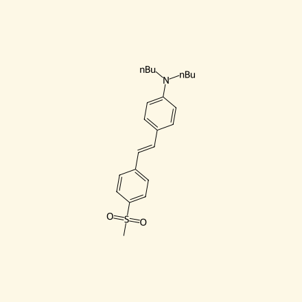 CCCCN(CCCC)c1ccc(/C=C/c2ccc(S(C)(=O)=O)cc2)cc1